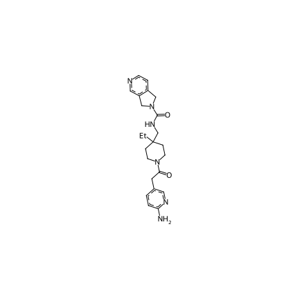 CCC1(CNC(=O)N2Cc3ccncc3C2)CCN(C(=O)Cc2ccc(N)nc2)CC1